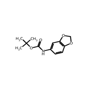 CC(C)(C)OC(=O)Nc1ccc2c(c1)OCO2